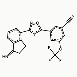 N#Cc1cc(OC(F)(F)F)cc(-c2nc(-c3cccc4c3CCC4=N)no2)c1